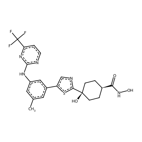 Cc1cc(Nc2nccc(C(F)(F)F)n2)cc(-c2cnc([C@]3(O)CC[C@@H](C(=O)NO)CC3)s2)c1